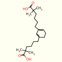 CC(C)(CCCCC1=CCCC(CCCCC(C)(C)C(=O)O)=C1)C(=O)O